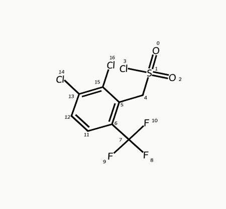 O=S(=O)(Cl)Cc1c(C(F)(F)F)ccc(Cl)c1Cl